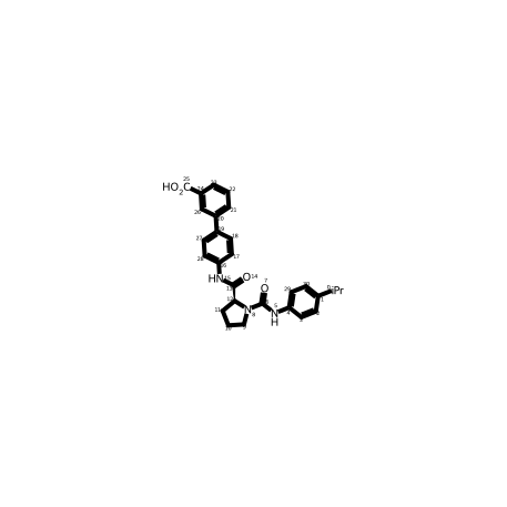 CC(C)c1ccc(NC(=O)N2CCC[C@H]2C(=O)Nc2ccc(-c3cccc(C(=O)O)c3)cc2)cc1